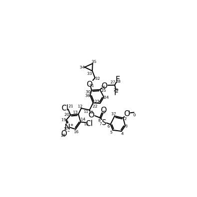 COc1cccc(SC(=O)OC(Cc2c(Cl)c[n+]([O-])cc2Cl)c2ccc(OC(F)F)c(OCC3CC3)c2)c1